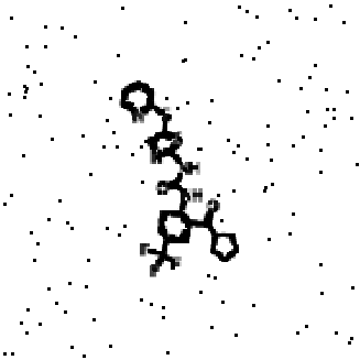 O=C(Nc1ncc(Sc2ccccn2)s1)Nc1ccc(C(F)(F)F)cc1C(=O)C1CCCC1